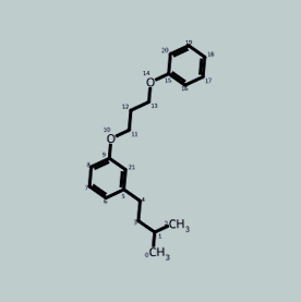 CC(C)CCc1cccc(OCCCOc2ccccc2)c1